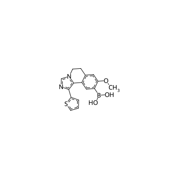 COc1cc2c(cc1B(O)O)-c1c(-c3cccs3)ncn1CC2